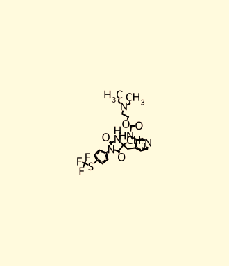 CCN(CC)CCOC(=O)Nc1cnccc1CC1(C)NC(=O)N(c2ccc(SC(F)(F)F)cc2)C1=O